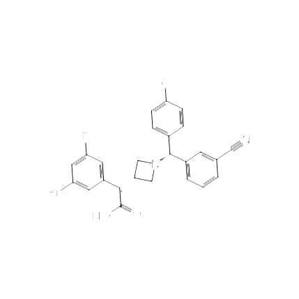 N#Cc1cccc([C@H](c2ccc(Cl)cc2)N2CC([C@H](C(=O)O)c3cc(F)cc(Br)c3)C2)c1